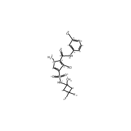 Cn1cc(S(=O)(=O)NC2(C)CC(F)(F)C2)c(Cl)c1C(=O)Nc1ccnc(Cl)c1